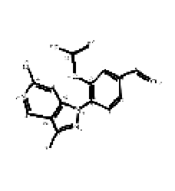 Cc1nn(-c2ccc(C=O)cc2OC(F)F)c2cc(Cl)ncc12